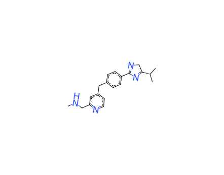 CNCc1cc(Cc2ccc(C3=NCC(C(C)C)=N3)cc2)ccn1